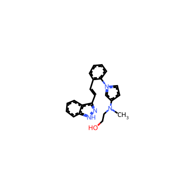 CN(CCO)c1ccn(-c2ccccc2/C=C/c2n[nH]c3ccccc23)c1